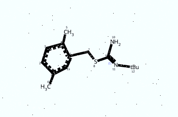 Cc1ccc(C)c(CS/C(N)=N/C(C)(C)C)c1